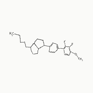 CCCCCC1CCC2C(c3ccc(-c4ccc(OC)c(F)c4F)cc3)CCC12